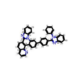 c1ccc(-n2c(-c3ccc(-c4ccc5c6c(ccc7cccnc76)c6nc7ccccc7n6c5c4)cc3)nc3ccccc32)cc1